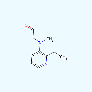 CCc1ncccc1N(C)CC=O